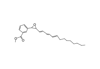 CCCCCCCC/C=C/C=C/C=C/C1OC1c1cccc(C(=O)OC)c1